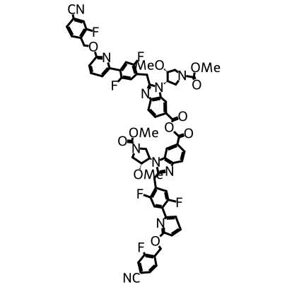 COC(=O)N1C[C@@H](OC)[C@@H](n2c(Cc3cc(F)c(-c4cccc(OCc5ccc(C#N)cc5F)n4)cc3F)nc3ccc(C(=O)OC(=O)c4ccc5nc(Cc6cc(F)c(-c7cccc(OCc8ccc(C#N)cc8F)n7)cc6F)n([C@H]6CN(C(=O)OC)C[C@H]6OC)c5c4)cc32)C1